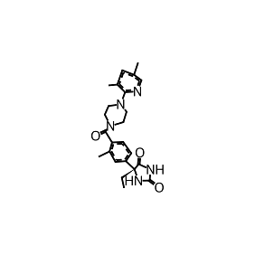 CC[C@]1(c2ccc(C(=O)N3CCN(c4ncc(C)cc4C)CC3)c(C)c2)NC(=O)NC1=O